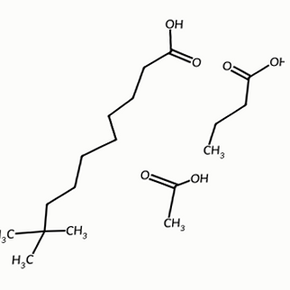 CC(=O)O.CC(C)(C)CCCCCCCC(=O)O.CCCC(=O)O